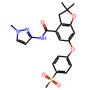 Cn1ccc(NC(=O)c2cc(Oc3ccc(S(C)(=O)=O)cc3)cc3c2CC(C)(C)O3)n1